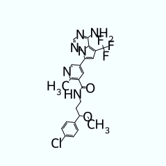 COC(CCNC(=O)c1cc(-c2cc(C(F)(F)F)c3c(N)ncnn23)cnc1C)c1ccc(Cl)cc1